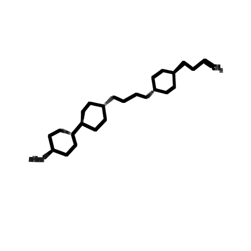 C=CCC[C@H]1CC[C@H](CCCC[C@H]2CC[C@H]([C@H]3CC[C@H](CCCCCC)CC3)CC2)CC1